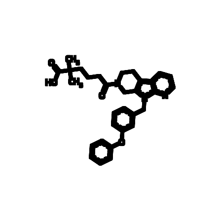 CC(C)(CCCC(=O)N1CCc2c(n(Cc3cccc(Oc4ccccc4)c3)c3ncccc23)C1)C(=O)O